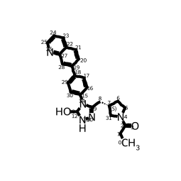 CCC(=O)N1CC[C@@H](CC2=NNC(O)N2c2ccc(-c3ccc4cccnc4c3)cc2)C1